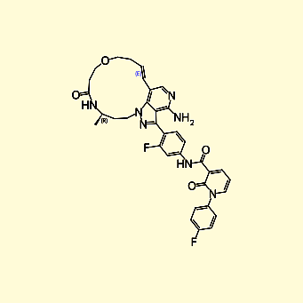 C[C@@H]1CCn2nc(-c3ccc(NC(=O)c4cccn(-c5ccc(F)cc5)c4=O)cc3F)c3c(N)ncc(c32)/C=C/CCOCCC(=O)N1